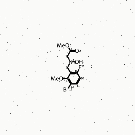 COC(=O)CN(O)Cc1c(F)ccc(Br)c1OC